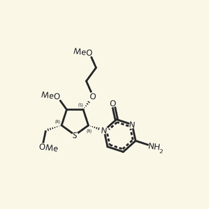 COCCO[C@H]1C(OC)[C@@H](COC)S[C@H]1n1ccc(N)nc1=O